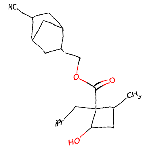 CC(C)CC1(C(=O)OCC2CC3CC2CC3C#N)C(C)CC1O